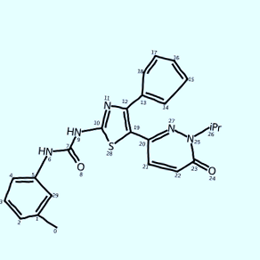 Cc1cccc(NC(=O)Nc2nc(-c3ccccc3)c(-c3ccc(=O)n(C(C)C)n3)s2)c1